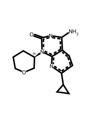 Nc1nc(=O)n([C@@H]2CCCOC2)c2nc(C3CC3)ccc12